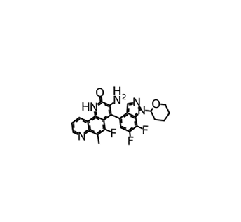 Cc1c(F)c2c(-c3cc(F)c(F)c4c3cnn4C3CCCCO3)c(N)c(=O)[nH]c2c2cccnc12